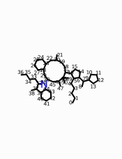 CCCCCC1C(C(C)C2CCCC2)CCC1C1CCC(C)CC2CCCCC2CC(N2C(CCCC)C(C)C3CCCCC32)CC(C)C1(C)C